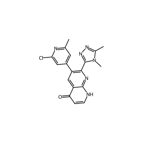 Cc1cc(-c2cc3c(=O)cc[nH]c3nc2-c2nnc(C)n2C)cc(Cl)n1